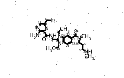 CCn1c(CNC(=O)c2nc(CI)cnc2N)[n+](CC)c2ccc(C(=O)N(C)CCCNC)cc21